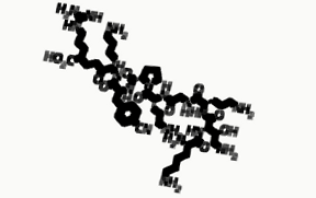 N#Cc1ccc(CC(NC(=O)[C@@H]2CCCN2C(=O)[C@@H](CCCN)NC(=O)CNC(=O)[C@H](CCCN)NC(=O)[C@@H](NC(=O)[C@@H](N)CCCCN)[C@@H](O)CN)C(=O)N[C@@H](CCCCN)C(=O)CCC(CCCNC(=N)N)C(=O)O)cc1